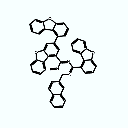 C=N/C(=N\C(=N/Cc1ccc2ccccc2c1)c1cccc2oc3ccccc3c12)c1cc(-c2cccc3oc4ccccc4c23)cc2oc3ccccc3c12